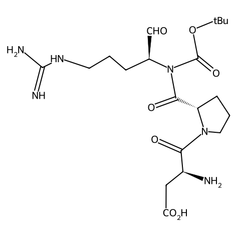 CC(C)(C)OC(=O)N(C(=O)[C@@H]1CCCN1C(=O)[C@@H](N)CC(=O)O)[C@H](C=O)CCCNC(=N)N